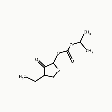 CCC1CSC(OC(=O)OC(C)C)C1=O